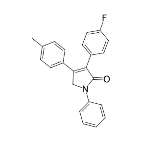 Cc1ccc(C2=C(c3ccc(F)cc3)C(=O)N(c3ccccc3)C2)cc1